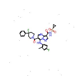 Cc1cc(F)ccc1Nc1c(C(=O)N2CCC(F)(c3ccccc3)CC2)cnc2c(C(=O)NS(=O)(=O)C3CC3)cnn12